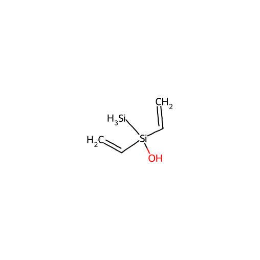 C=C[Si](O)([SiH3])C=C